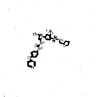 CC(C)(C)c1cc(NC(=O)Nc2ccc(Oc3ccncc3)cc2)n(-c2ccc(S(=O)(=O)NCC3CCCO3)c(OC(F)(F)F)c2)n1